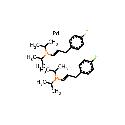 CC(C)P(C=CCc1ccc(F)cc1)C(C)C.CC(C)P(C=CCc1ccc(F)cc1)C(C)C.[Pd]